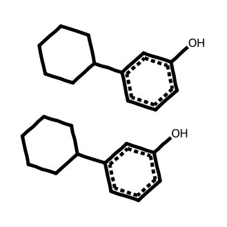 Oc1cccc(C2CCCCC2)c1.Oc1cccc(C2CCCCC2)c1